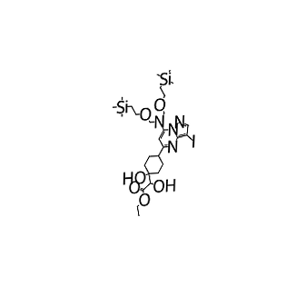 CCOC(=O)C(O)C1(O)CCC(c2cc(N(COCC[Si](C)(C)C)COCC[Si](C)(C)C)n3ncc(I)c3n2)CC1